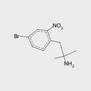 CC(C)(N)Cc1ccc(Br)cc1[N+](=O)[O-]